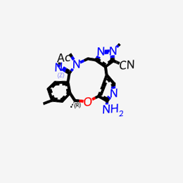 CC(=O)/N=C1/c2ccc(C)cc2[C@@H](C)Oc2cc(cnc2N)-c2c(nn(C)c2C#N)CN1C